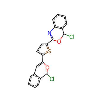 ClC1OC(c2ccc(C3=Nc4ccccc4C(Cl)O3)s2)=Cc2ccccc21